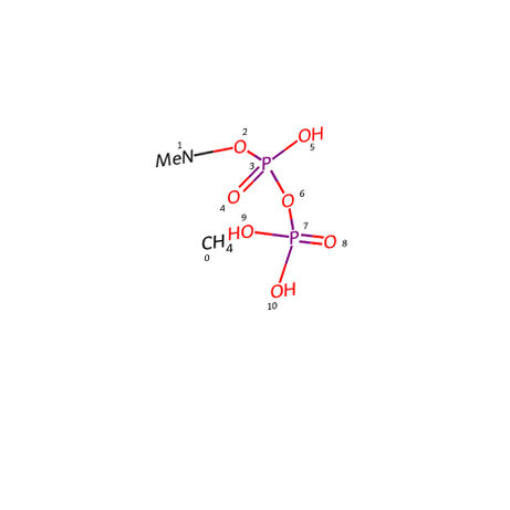 C.CNOP(=O)(O)OP(=O)(O)O